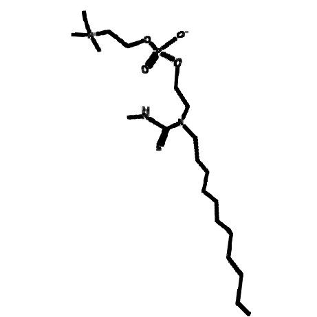 CCCCCCCCCCCN(CCOP(=O)([O-])OCC[N+](C)(C)C)C(=S)NC